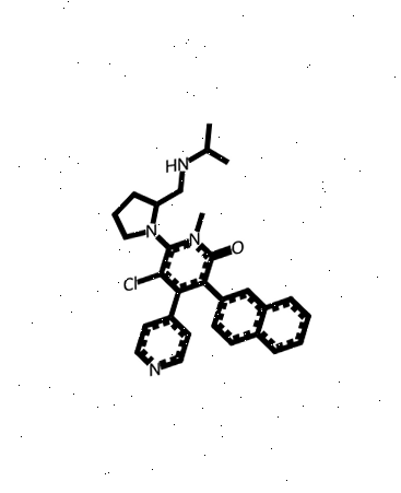 CC(C)NCC1CCCN1c1c(Cl)c(-c2ccncc2)c(-c2ccc3ccccc3c2)c(=O)n1C